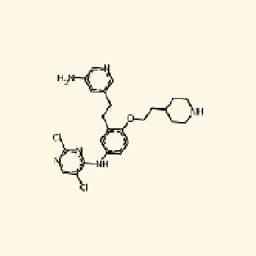 Nc1cncc(CCc2cc(Nc3nc(Cl)ncc3Cl)ccc2OCCC2CCNCC2)c1